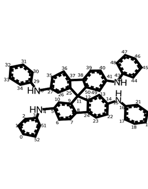 c1ccc(Nc2ccc3c(c2)C2(c4cc(Nc5ccccc5)ccc4-3)c3cc(Nc4ccccc4)ccc3-c3ccc(Nc4ccccc4)cc32)cc1